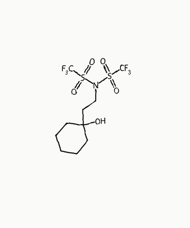 O=S(=O)(N(CCC1(O)CCCCC1)S(=O)(=O)C(F)(F)F)C(F)(F)F